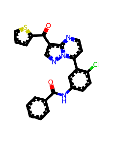 O=C(Nc1ccc(Cl)c(-c2ccnc3c(C(=O)c4cccs4)cnn23)c1)c1ccccc1